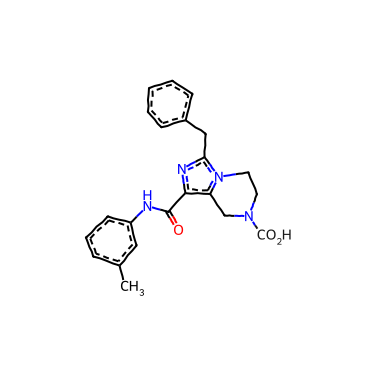 Cc1cccc(NC(=O)c2nc(Cc3ccccc3)n3c2CN(C(=O)O)CC3)c1